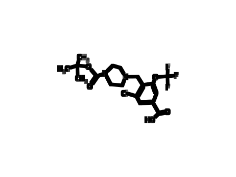 CC(C)(C)OC(=O)N1CCN(Cc2c(Cl)cc(C(=O)O)cc2OC(F)(F)F)CC1